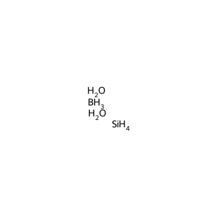 B.O.O.[SiH4]